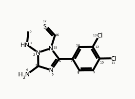 CNN1C(N)N=C(c2ccc(Cl)c(Cl)c2)N1C=S